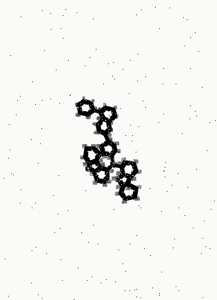 c1ccc(-c2cccc3cc(-c4ccc(N(c5cccc6c5sc5ccccc56)c5cccc6oc7ccccc7c56)cc4)ccc23)cc1